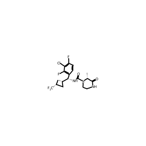 C[C@@H]1C(=O)NCCN1C(=O)N[C@@H](c1ccc(F)c(Cl)c1F)[C@H]1C[C@@H](C(F)(F)F)C1